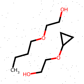 CCCCOCCO.OCCOC1CC1